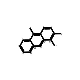 Cc1ccc2c(C)c3ccccc3cc2c1C